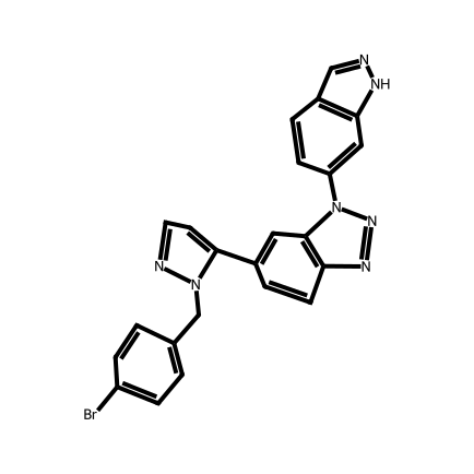 Brc1ccc(Cn2nccc2-c2ccc3nnn(-c4ccc5cn[nH]c5c4)c3c2)cc1